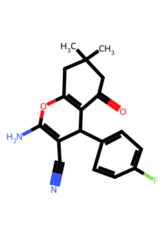 CC1(C)CC(=O)C2=C(C1)OC(N)=C(C#N)C2c1ccc(F)cc1